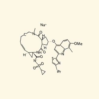 COc1ccc2c(O[C@@H]3C[C@H]4C(=O)N[C@]5(C(=O)[N-]S(=O)(=O)C6CC6)C[C@H]5/C=C\CCCCN(C)C(=O)[C@@H]4C3)cc(-c3nc(C(C)C)cs3)nc2c1C.[Na+]